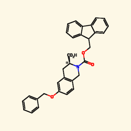 O=C(O)[C@@H]1Cc2cc(OCc3ccccc3)ccc2CN1C(=O)OCC1c2ccccc2-c2ccccc21